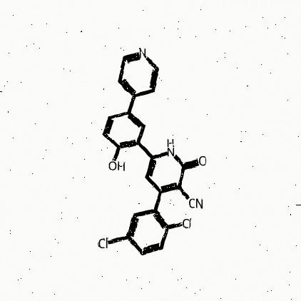 N#Cc1c(-c2cc(Cl)ccc2Cl)cc(-c2cc(-c3ccncc3)ccc2O)[nH]c1=O